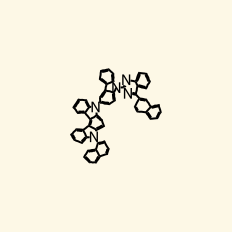 c1ccc2cc(-c3nc(-n4c5ccccc5c5cc(-n6c7ccccc7c7c8c9ccccc9n(-c9cccc%10ccccc9%10)c8ccc76)ccc54)nc4ccccc34)ccc2c1